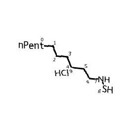 CCCCCCCCCCCNS.Cl